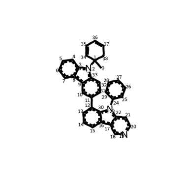 CC1(n2c3ccccc3c3cc(-c4cccc5c6cnccc6n(-c6ccccc6)c45)ccc32)C=CC=CC1